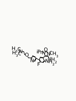 CC(C)n1c(-c2cc(-c3ccc(COCCN(C)C)nc3)c(F)cc2N)c(N)n(C)c1=O